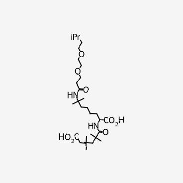 CC(C)CCOCCOCCC(=O)NC(C)(C)CCCC[C@H](NC(=O)C(C)(C)CC(C)(C)CC(=O)O)C(=O)O